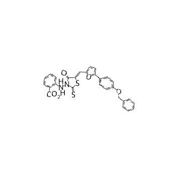 O=C(O)c1ccccc1NN1C(=O)C(=Cc2ccc(-c3ccc(OCc4ccccc4)cc3)o2)SC1=S